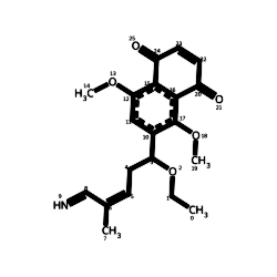 CCOC(CC=C(C)C=N)c1cc(OC)c2c(c1OC)C(=O)C=CC2=O